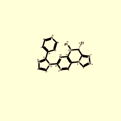 CC[C@@H]1c2nncn2-c2cnc(-n3ccnc3-c3ccncc3)nc2N1C(C)C